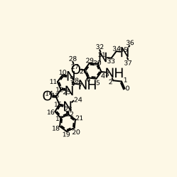 C=CCNc1cc(Nc2nccc(C(=O)c3cc4ccccc4n3C)n2)c(OC)cc1N(C)CCN(C)C